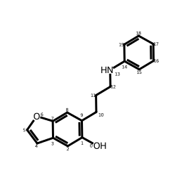 Oc1cc2ccoc2cc1CCCNc1ccccc1